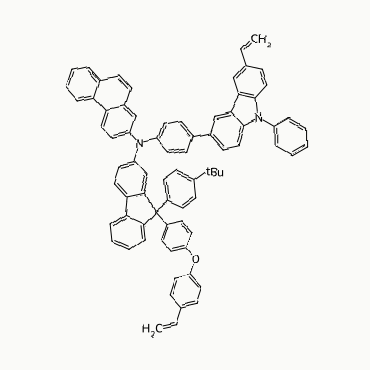 C=Cc1ccc(Oc2ccc(C3(c4ccc(C(C)(C)C)cc4)c4ccccc4-c4ccc(N(c5ccc(-c6ccc7c(c6)c6cc(C=C)ccc6n7-c6ccccc6)cc5)c5ccc6c(ccc7ccccc76)c5)cc43)cc2)cc1